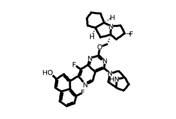 Oc1cc(-c2ncc3c(N4CC5CCC(C4)N5)nc(OC[C@@]45C[C@@H](F)CN4[C@@H]4CCCC[C@@H]4C5)nc3c2F)c2c(F)cccc2c1